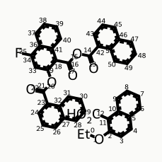 CCOc1ccc2ccccc2c1C(=O)O.O=C(OC(=O)c1c(OC(=O)c2cccc3ccccc23)cc(F)c2ccccc12)c1cccc2ccccc12